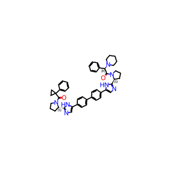 O=C([C@@H](c1ccccc1)N1CCCCC1)N1CCC[C@H]1c1ncc(-c2ccc(-c3ccc(-c4cnc([C@@H]5CCCN5C(=O)C5(c6ccccc6)CC5)[nH]4)cc3)cc2)[nH]1